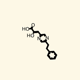 O=C(O)/C(O)=C/c1cnc(CCc2ccccc2)cn1